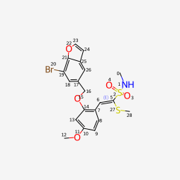 CNS(=O)(=O)/C(=C/c1ccc(OC)cc1OCc1cc(Br)c2occc2c1)SC